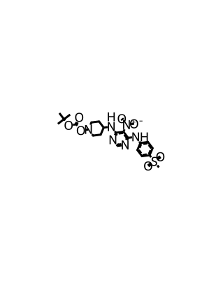 CC(C)(C)OC(=O)ON1CCC(Nc2ncnc(Nc3ccc(S(C)(=O)=O)cc3)c2[N+](=O)[O-])CC1